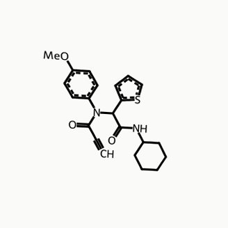 C#CC(=O)N(c1ccc(OC)cc1)C(C(=O)NC1CCCCC1)c1cccs1